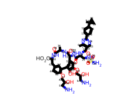 Cc1nc(-c2ccc(C3(C)CC3)cc2)ncc1C(=O)NC(CNS(N)(=O)=O)C(=O)N(C)C1C(=O)NC(C)C(=O)NC(C(=O)O)Cc2ccc(OCC(O)CN)c(c2)-c2cc1cc(OCC(O)CN)c2O